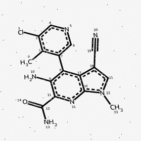 Cc1c(Cl)cncc1-c1c(N)c(C(N)=O)nc2c1c(C#N)cn2C